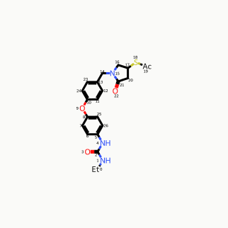 CCNC(=O)Nc1ccc(Oc2ccc(CN3CC(SC(C)=O)CC3=O)cc2)cc1